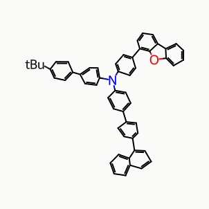 CC(C)(C)c1ccc(-c2ccc(N(c3ccc(-c4ccc(-c5cccc6ccccc56)cc4)cc3)c3ccc(-c4cccc5c4oc4ccccc45)cc3)cc2)cc1